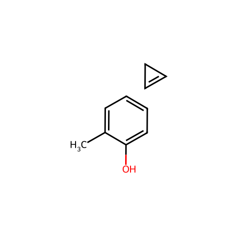 C1=CC1.Cc1ccccc1O